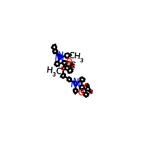 CC1CC=C(c2nc(-c3ccc4ccccc4c3)nc(-c3ccccc3-c3ccc4c(c3)C3(C5=C(c6ccccc63)C(c3cccc(-c6ccc(-c7nc(-c8ccccc8)nc(-c8ccccc8-c8ccc9c(c8)C8(c%10ccccc%10O9)c9ccccc9-c9ccccc98)n7)cc6)c3)C(C)C=C5)c3ccccc3O4)n2)CC1